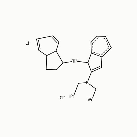 CC(C)CP(CC(C)C)C1=Cc2ccccc2[CH]1[Ti+2][CH]1CCC2C=CC=CC21.[Cl-].[Cl-]